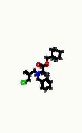 C=C(CCl)CN(Cc1ccccc1)C(CC)C(=O)OCc1ccccc1